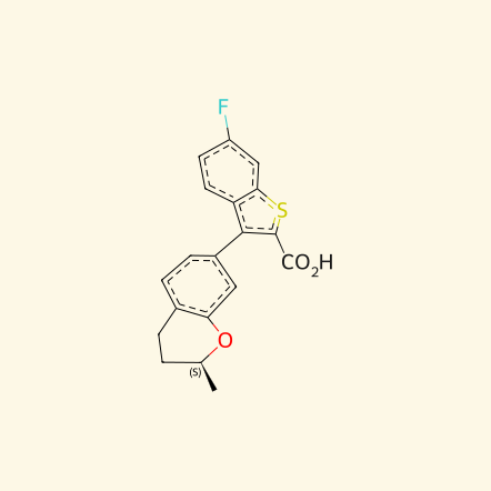 C[C@H]1CCc2ccc(-c3c(C(=O)O)sc4cc(F)ccc34)cc2O1